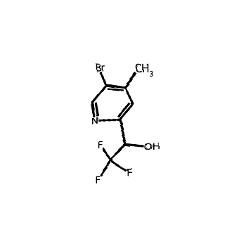 Cc1cc(C(O)C(F)(F)F)ncc1Br